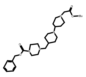 CC(C)(C)OC(=O)CN1CCC(N2CCC(CN3CCN(C(=O)OCc4ccccc4)CC3)CC2)CC1